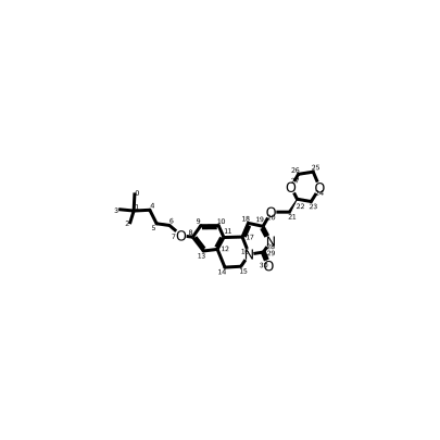 CC(C)(C)CCCOc1ccc2c(c1)CCn1c-2cc(OC[C@@H]2COCCO2)nc1=O